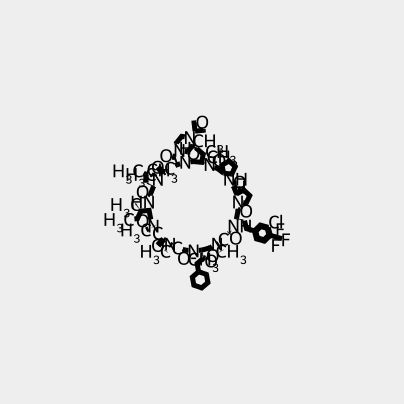 CC[C@H](C)[C@@H]1NC(=O)[C@H](CC(C)C)N(C)C(=O)C[C@@H](C(=O)N2CCN(C3COC3)CC2)NC(=O)[C@H]([C@@H](C)CC)N(C)C(=O)C2(CCCC2)NC(=O)[C@@H]2CCCN2C(=O)[C@H](CCc2ccc(C(F)(F)F)c(Cl)c2)NC(=O)CN(C)C(=O)[C@H](C(=O)CC2CCCCC2)N(C)C(=O)CN(C)C(=O)CN(C)C1=O